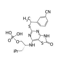 CC(C)C[C@H](COP(=O)(O)O)Nc1nc(SC(C)c2cccc(C#N)c2)nc2[nH]c(=O)sc12